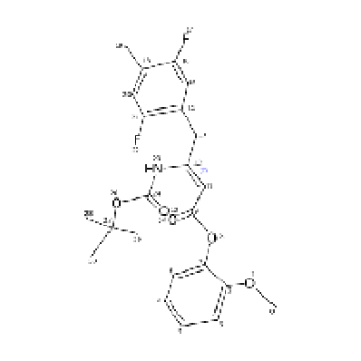 COc1ccccc1OC(=O)/C=C(/Cc1cc(F)c(C)cc1F)NC(=O)OC(C)(C)C